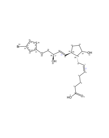 O=C(O)CCC/C=C\C[C@H]1C(O)CC[C@@H]1/C=C/[C@@H](O)COc1cc(Br)cs1